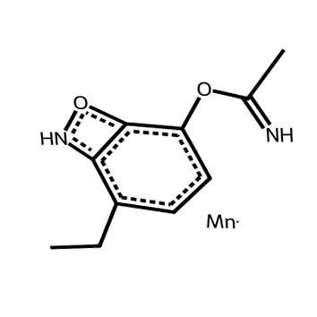 CCc1ccc(OC(C)=N)c2o[nH]c12.[Mn]